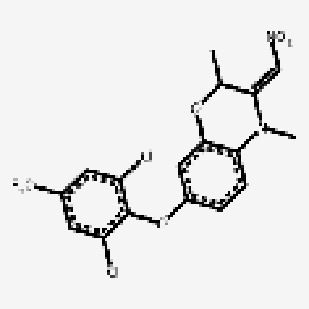 CC1Oc2cc(Oc3c(Cl)cc(C(F)(F)F)cc3Cl)ccc2N(C)/C1=C/[N+](=O)[O-]